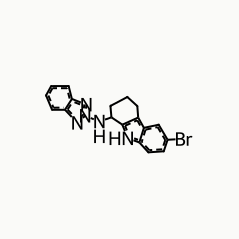 Brc1ccc2[nH]c3c(c2c1)CCCC3Nn1nc2ccccc2n1